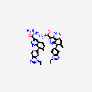 CCn1cnc2cc(-c3c(C)ccc4c(N)c(C(N)=O)nnc34)ccc21.CCn1cnc2ccc(-c3c(C)ccc4cc(C(=O)NN)nnc34)cc21